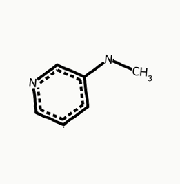 C[N]c1c[c]cnc1